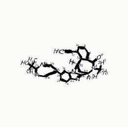 [2H]C([2H])([2H])N1C(=O)c2cccc(C#C)c2[C@H]2C[C@@H]1c1nc3ccc(-c4cnc(C(C)(C)O)nc4)cc3n12